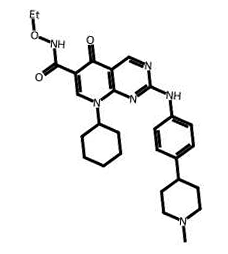 CCONC(=O)c1cn(C2CCCCC2)c2nc(Nc3ccc(C4CCN(C)CC4)cc3)ncc2c1=O